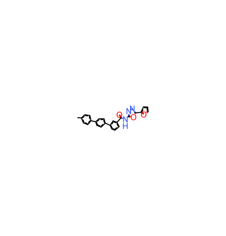 Cc1ccc(-c2ccc(-c3cccc(C(=O)Nc4nnc(-c5ccco5)o4)c3)cc2)cc1